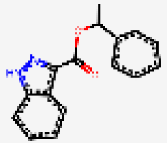 CC(OC(=O)c1n[nH]c2ccccc12)c1ccccc1